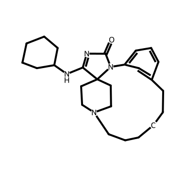 O=C1N=C(NC2CCCCC2)C23CCN(CCCCCCc4cccc(c4)N12)CC3